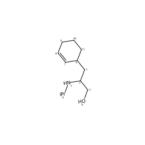 CC(C)NC(CO)CC1C=CCCC1